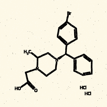 CC1CN([C@H](c2ccccc2)c2ccc(Br)cc2)CCN1CC(=O)O.Cl.Cl